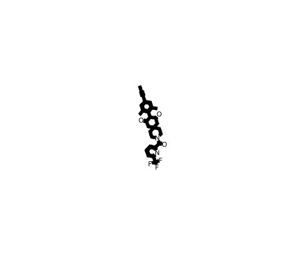 CC#Cc1cc(C)c(C2C(=O)CC3(CCN(C(=O)c4cccc(C(F)(F)F)n4)CC3)CC2=O)c(C)c1